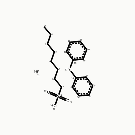 CCCCCCCCS(=O)(=O)O.F.c1ccc(Sc2ccccc2)cc1